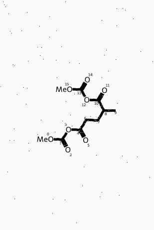 COC(=O)OC(=O)CCC(C)C(=O)OC(=O)OC